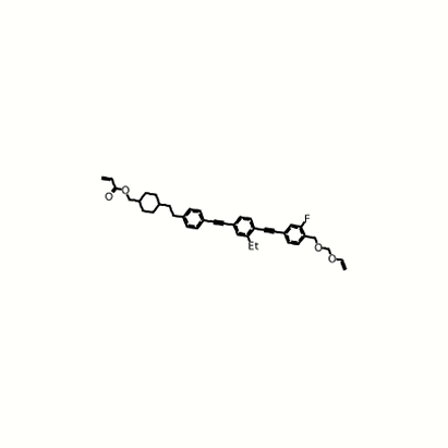 C=COCOCc1ccc(C#Cc2ccc(C#Cc3ccc(CCC4CCC(COC(=O)C=C)CC4)cc3)cc2CC)cc1F